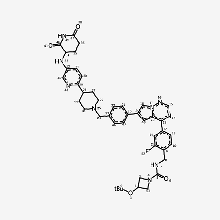 CC(C)(C)OC1CN(C(=O)NCc2ccc(-c3ncnn4cc(-c5ccc(CN6CCC(c7ccc(NC8CCC(=O)NC8=O)cn7)CC6)cc5)cc34)cc2F)C1